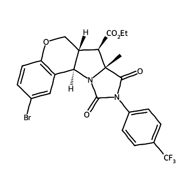 CCOC(=O)[C@@H]1[C@H]2COc3ccc(Br)cc3[C@@H]2N2C(=O)N(c3ccc(C(F)(F)F)cc3)C(=O)[C@@]12C